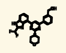 OCc1cccc(-c2cc(-c3cccc4[nH]c(C(F)F)nc34)nc(N3CCOCC3)n2)c1